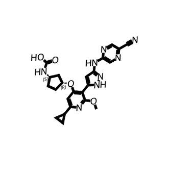 COc1nc(C2CC2)cc(O[C@@H]2CC[C@H](NC(=O)O)C2)c1-c1cc(Nc2cnc(C#N)cn2)n[nH]1